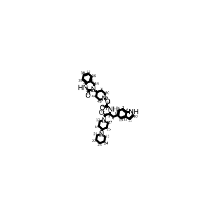 O=C(NC(Cc1ccc2[nH]ccc2c1)C(=O)N1CCC(N2CCCCC2)CC1)ON1CCC(N2Cc3ccccc3NC2=O)CC1